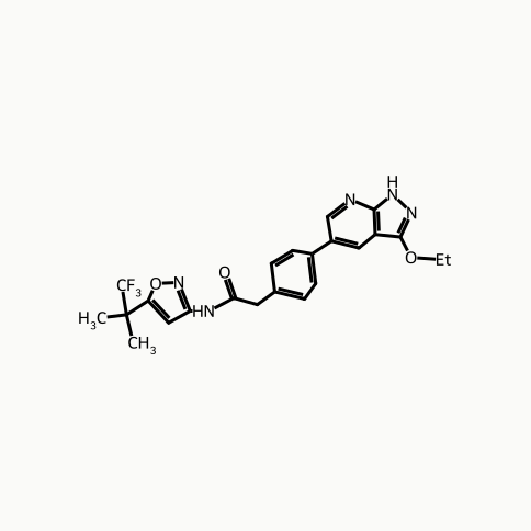 CCOc1n[nH]c2ncc(-c3ccc(CC(=O)Nc4cc(C(C)(C)C(F)(F)F)on4)cc3)cc12